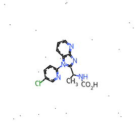 CC(NC(=O)O)c1nc2ncccc2n1-c1ccc(Cl)cn1